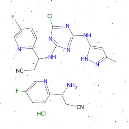 Cc1cc(Nc2nc(Cl)nc(NC(CC#N)c3ccc(F)cn3)n2)[nH]n1.Cl.N#CCC(N)c1ccc(F)cn1